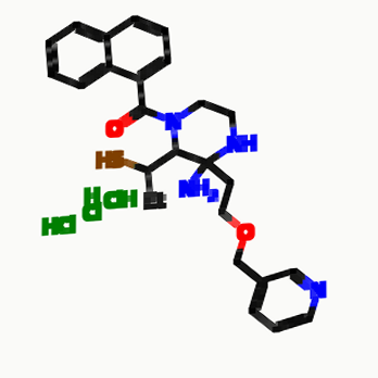 CCC(S)C1N(C(=O)c2cccc3ccccc23)CCNC1(N)CCOCc1cccnc1.Cl.Cl.Cl